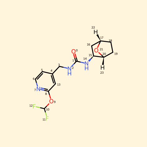 O=C(NCc1ccnc(OC(F)F)c1)N[C@H]1C[C@@H]2CC[C@H]1O2